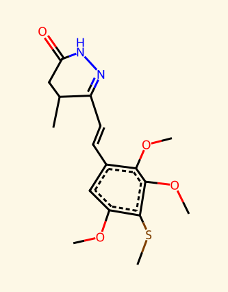 COc1cc(C=CC2=NNC(=O)CC2C)c(OC)c(OC)c1SC